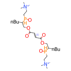 CCCCC(COC(=O)/C=C/C(=O)OCC(CCCC)[PH](=O)CC[N+](C)(C)C)[PH](=O)CC[N+](C)(C)C